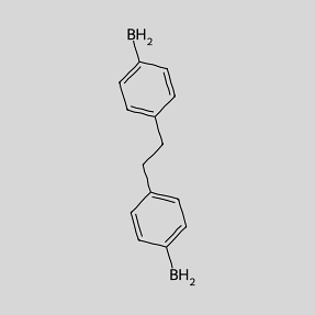 Bc1ccc(CCc2ccc(B)cc2)cc1